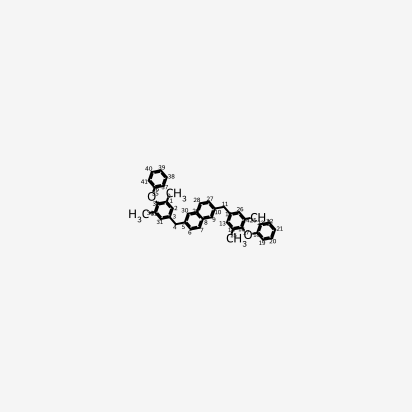 Cc1cc(Cc2ccc3cc(Cc4cc(C)c(Oc5ccccc5)c(C)c4)ccc3c2)cc(C)c1Oc1ccccc1